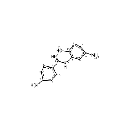 Nc1ccc(C(=P)Bc2cc(N)ccc2O)cc1